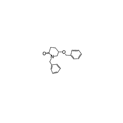 O=C1CCC(OCc2ccccc2)CN1Cc1ccccc1